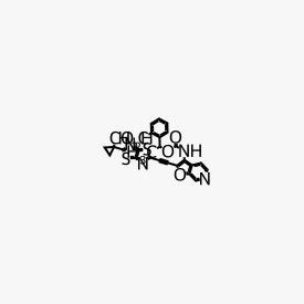 Cc1ccccc1C(C)OC(=O)Nc1c(C#Cc2nc3sc(C4(C(=O)O)CC4)nc3s2)oc2cnccc12